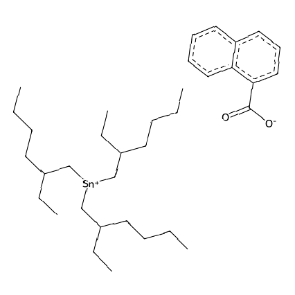 CCCCC(CC)[CH2][Sn+]([CH2]C(CC)CCCC)[CH2]C(CC)CCCC.O=C([O-])c1cccc2ccccc12